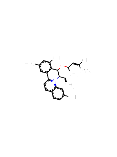 C=CC1C(OC(C)/C=C(/C)OC)c2c(C)cc(C)cc2-c2ccc3ccc(C)cc3[n+]21